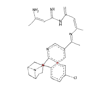 C=C(/C=C(C)\N=C(/C)c1ccc(N2CC3CC(C2)N3Cc2ccc(Cl)cc2)nc1)NC(=N)/C=C(/C)N